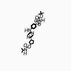 CC(C)NC(=O)O[C@@H]1CC[C@H](c2cnc(Nc3ccc(S(=O)(=O)NC(=O)OC(C)(C)C)cc3)cn2)C1